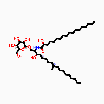 CCCCCCCCCCCCCCCCC(O)C(=O)NC(CO[C@@H]1OC(CO)[C@H](O)C(O)C1O)C(O)/C=C/CC/C=C(\C)CCCCCCCCC